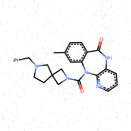 Cc1ccc2c(c1)N(C(=O)N1CC3(CCN(CC(C)C)C3)C1)c1ncccc1NC2=O